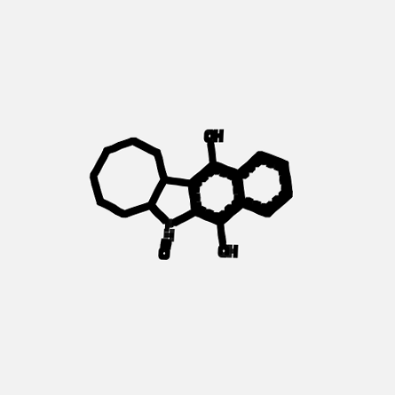 O=[PH]1c2c(c(O)c3ccccc3c2O)C2CCCCCCC21